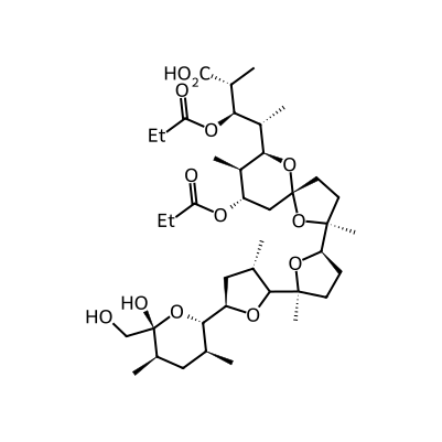 CCC(=O)O[C@H]([C@H](C)[C@H]1O[C@@]2(CC[C@@](C)([C@H]3CC[C@@](C)(C4O[C@@H]([C@H]5O[C@@](O)(CO)[C@H](C)C[C@@H]5C)C[C@@H]4C)O3)O2)C[C@H](OC(=O)CC)[C@H]1C)[C@@H](C)C(=O)O